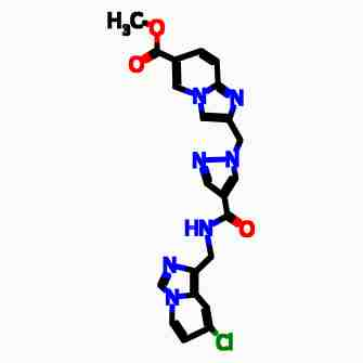 COC(=O)c1ccc2nc(Cn3cc(C(=O)NCc4ncn5ccc(Cl)cc45)cn3)cn2c1